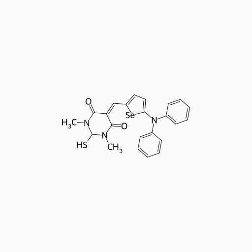 CN1C(=O)C(=Cc2ccc(N(c3ccccc3)c3ccccc3)[se]2)C(=O)N(C)C1S